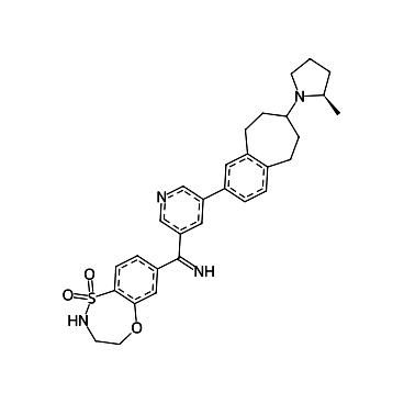 C[C@@H]1CCCN1C1CCc2ccc(-c3cncc(C(=N)c4ccc5c(c4)OCCNS5(=O)=O)c3)cc2CC1